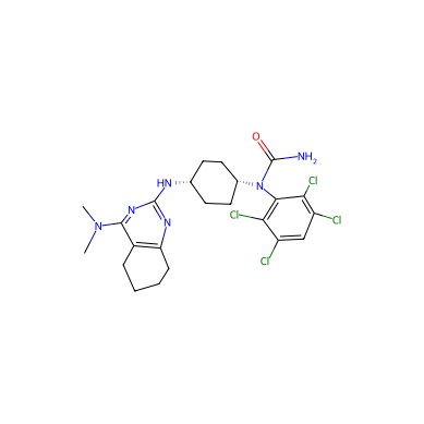 CN(C)c1nc(N[C@H]2CC[C@@H](N(C(N)=O)c3c(Cl)c(Cl)cc(Cl)c3Cl)CC2)nc2c1CCCC2